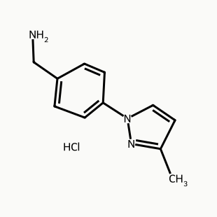 Cc1ccn(-c2ccc(CN)cc2)n1.Cl